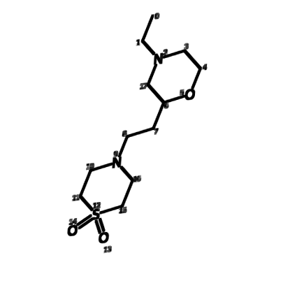 CCN1CCOC(CCN2CCS(=O)(=O)CC2)C1